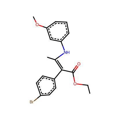 CCOC(=O)/C(=C(/C)Nc1cccc(OC)c1)c1ccc(Br)cc1